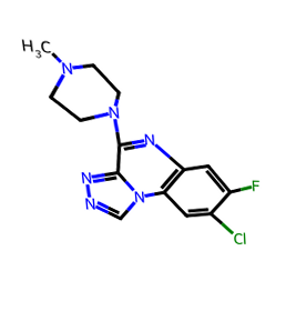 CN1CCN(c2nc3cc(F)c(Cl)cc3n3cnnc23)CC1